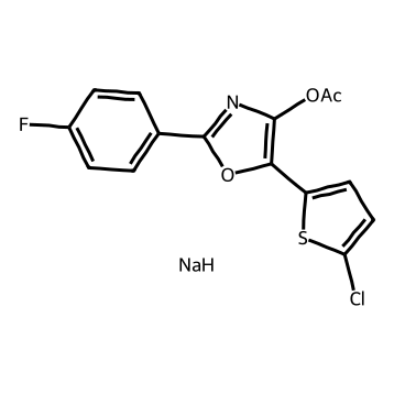 CC(=O)Oc1nc(-c2ccc(F)cc2)oc1-c1ccc(Cl)s1.[NaH]